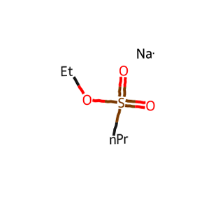 CCCS(=O)(=O)OCC.[Na]